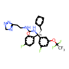 O=C(NCCC1=NCN=N1)N[C@](Cc1ccccc1)(c1ccc(F)cc1)c1cc(F)cc(OC(F)(F)C(F)(F)F)c1